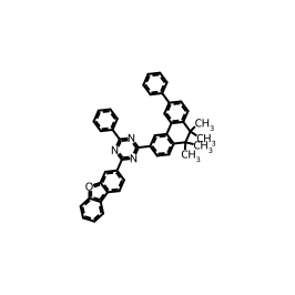 CC1(C)c2ccc(-c3ccccc3)cc2-c2cc(-c3nc(-c4ccccc4)nc(-c4ccc5c(c4)oc4ccccc45)n3)ccc2C1(C)C